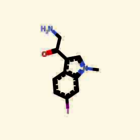 Cn1cc(C(=O)CN)c2ccc(I)cc21